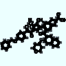 Cc1c(C(=O)N(C)c2ccc(OCc3ccccc3)cc2)cc(-c2cc3c(cc2C(=O)N2Cc4ccccc4C[C@H]2CN2CCOCC2)CN(C(=O)O)C3)n1C